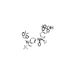 CC1(C)OC[C@@H](Cn2c(C(C)(C)C)cc3cc(NC(=O)C4(c5ccc6c(c5)OC(O)(O)O6)CC4)ccc32)O1